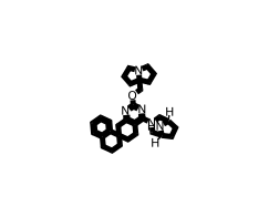 c1ccc2c(c1)CCCC21CCc2c(nc(OCC34CCCN3CCC4)nc2N2C[C@H]3CC[C@@H](C2)N3)C1